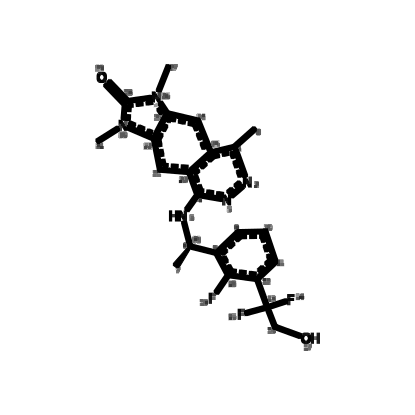 Cc1nnc(N[C@H](C)c2cccc(C(F)(F)CO)c2F)c2cc3c(cc12)n(C)c(=O)n3C